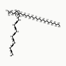 CCC#CCC#CCC#CCC#CCC#CCC#CCCCC1(CCCCCCCCCCCCCCCCCCCCCC)OCC(CCN(C)C)O1